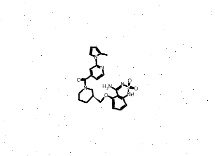 Cc1cccn1-c1cc(C(=O)N2CCC[C@H](COc3cccc4c3C(N)=NS(=O)(=O)N4)C2)ccn1